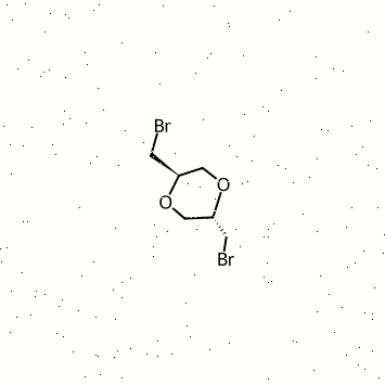 BrC[C@@H]1CO[C@@H](CBr)CO1